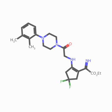 CCOC(=O)C(=N)C1=C(NCC(=O)N2CCN(c3cccc(C)c3C)CC2)CC(F)(F)C1